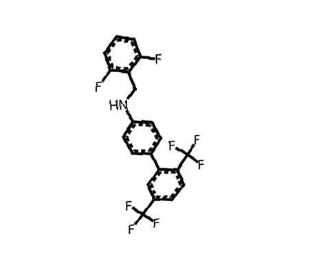 Fc1cccc(F)c1CNc1ccc(-c2cc(C(F)(F)F)ccc2C(F)(F)F)cc1